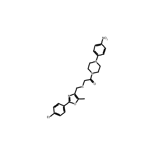 CCc1ccc(-c2nc(CSCC(=O)N3CCN(c4ccc([N+](=O)[O-])cc4)CC3)c(C)o2)cc1